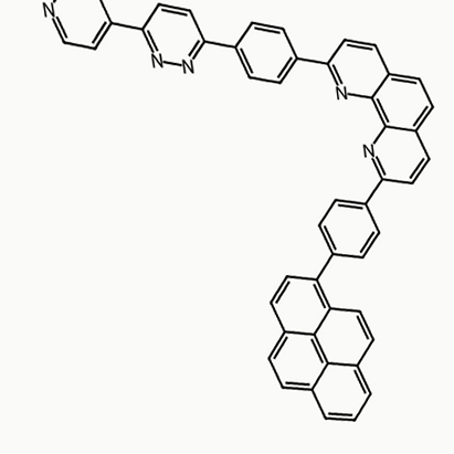 c1cc2ccc3ccc(-c4ccc(-c5ccc6ccc7ccc(-c8ccc(-c9ccc(-c%10ccncc%10)nn9)cc8)nc7c6n5)cc4)c4ccc(c1)c2c34